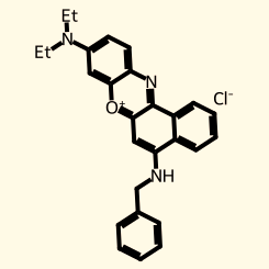 CCN(CC)c1ccc2nc3c(cc(NCc4ccccc4)c4ccccc43)[o+]c2c1.[Cl-]